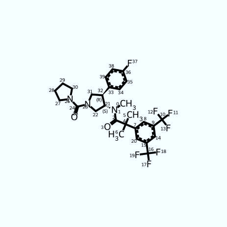 CN(C(=O)C(C)(C)c1cc(C(F)(F)F)cc(C(F)(F)F)c1)[C@@H]1CN(C(=O)N2CCCC2)C[C@H]1c1ccc(F)cc1